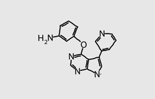 Nc1cccc(Oc2ncnc3c2C(c2cccnc2)=C[N]3)c1